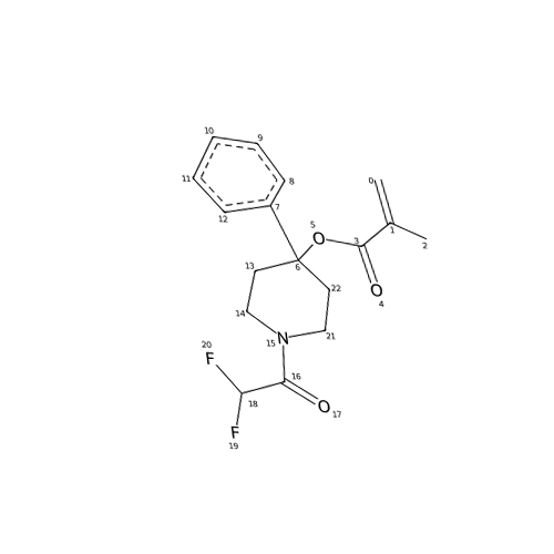 C=C(C)C(=O)OC1(c2ccccc2)CCN(C(=O)C(F)F)CC1